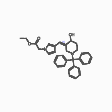 CCOC(=O)Cn1ccc(/C=C2\CN(C(c3ccccc3)(c3ccccc3)c3ccccc3)CCC2O)c1